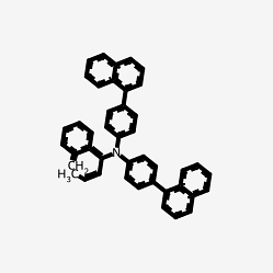 C=c1cccc/c1=C(/C=C\C)N(c1ccc(-c2cccc3ccccc23)cc1)c1ccc(-c2cccc3ccccc23)cc1